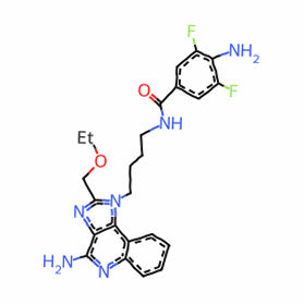 CCOCc1nc2c(N)nc3ccccc3c2n1CCCCNC(=O)c1cc(F)c(N)c(F)c1